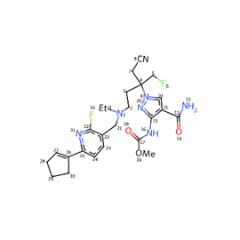 CCN(CCC(CF)(CC#N)n1cc(C(N)=O)c(NC(=O)OC)n1)Cc1ccc(C2=CCCC2)nc1F